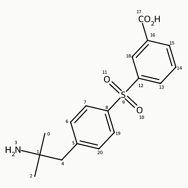 CC(C)(N)Cc1ccc(S(=O)(=O)c2cccc(C(=O)O)c2)cc1